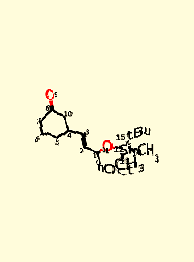 CCCCCCCCC(C=CC1CCCC(=O)C1)O[Si](C)(C)C(C)(C)C